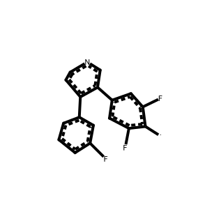 [CH2]c1c(F)cc(-c2cnccc2-c2cccc(F)c2)cc1F